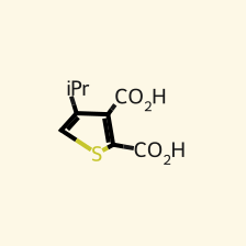 CC(C)c1csc(C(=O)O)c1C(=O)O